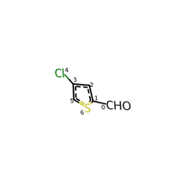 O=Cc1cc(Cl)cs1